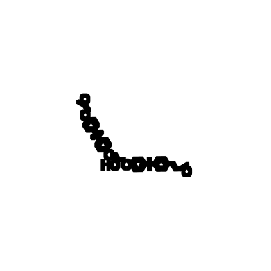 CC(C)(c1ccc(CCC2CO2)cc1)c1ccc(OCC(O)COc2ccc(C(C)(C)c3ccc(OCC4CO4)cc3)cc2)cc1